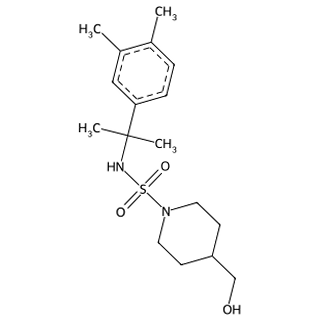 Cc1ccc(C(C)(C)NS(=O)(=O)N2CCC(CO)CC2)cc1C